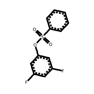 O=S(=O)(Oc1cc(F)cc(F)c1)c1ccccc1